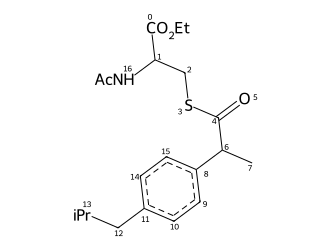 CCOC(=O)C(CSC(=O)C(C)c1ccc(CC(C)C)cc1)NC(C)=O